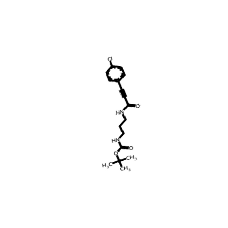 CC(C)(C)OC(=O)NCCCNC(=O)C#Cc1ccc(Cl)cc1